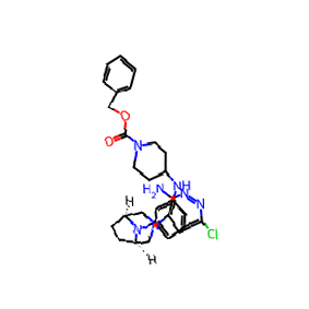 Nc1nnc(Cl)cc1N1C[C@H]2CC[C@@H](C1)N2c1cccc(NC2CCN(C(=O)OCc3ccccc3)CC2)c1